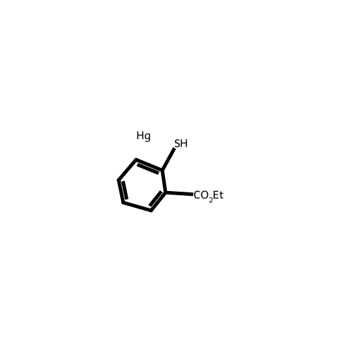 CCOC(=O)c1ccccc1S.[Hg]